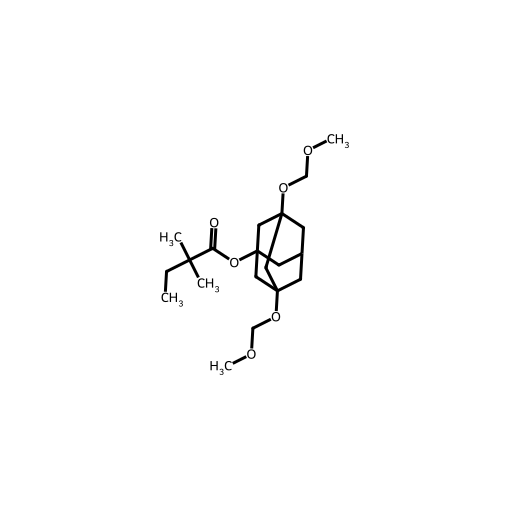 CCC(C)(C)C(=O)OC12CC3CC(OCOC)(CC(OCOC)(C3)C1)C2